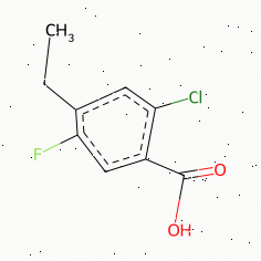 CCc1cc(Cl)c(C(=O)O)cc1F